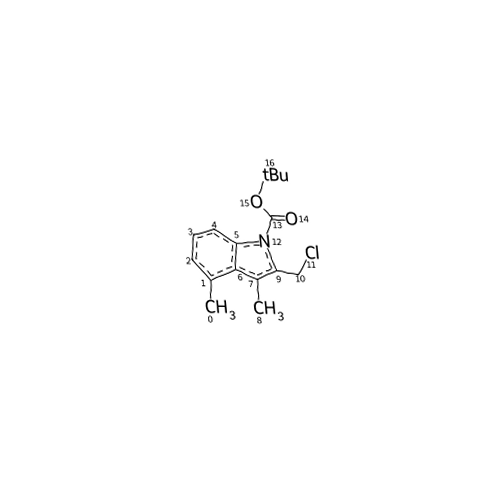 Cc1cccc2c1c(C)c(CCl)n2C(=O)OC(C)(C)C